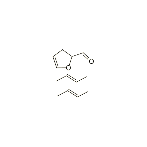 CC=CC.CC=CC.O=CC1CC=CO1